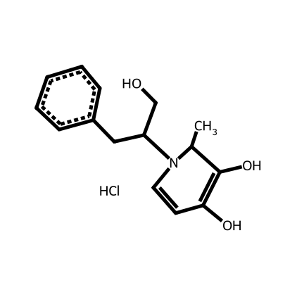 CC1C(O)=C(O)C=CN1C(CO)Cc1ccccc1.Cl